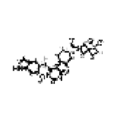 COc1cc2[nH]ncc2cc1Nc1ncnc2sc3c(c12)CC[C@H](C(=O)N1CC2(CCS2(=O)=O)C1)C3